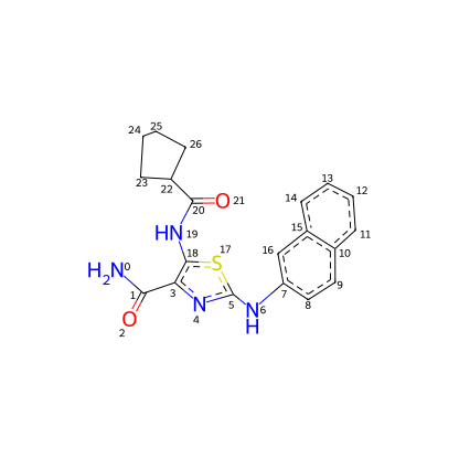 NC(=O)c1nc(Nc2ccc3ccccc3c2)sc1NC(=O)C1CCCC1